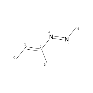 C/C=C(\C)N=NC